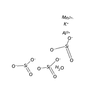 O.O=[Si]([O-])[O-].O=[Si]([O-])[O-].O=[Si]([O-])[O-].[Al+3].[K+].[Mn+2]